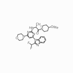 COC1CCN(C(=O)[C@H](C)Nc2nc(N3CCOCC3)cc(-n3c(C(F)F)nc4ccccc43)n2)CC1